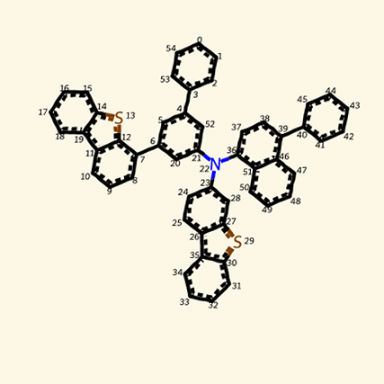 c1ccc(-c2cc(-c3cccc4c3sc3ccccc34)cc(N(c3ccc4c(c3)sc3ccccc34)c3ccc(-c4ccccc4)c4ccccc34)c2)cc1